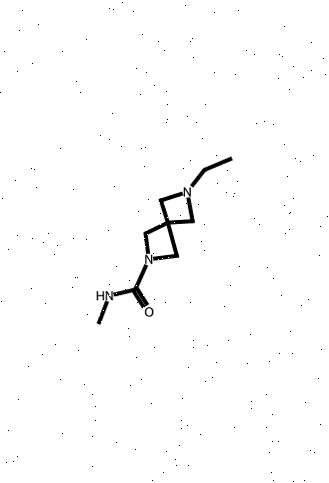 CCN1CC2(C1)CN(C(=O)NC)C2